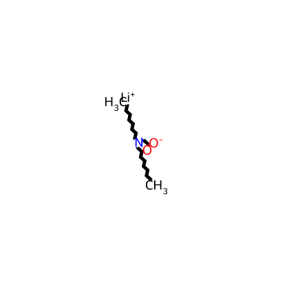 CCCCCCCCCN(CCCCCCCCC)CC(=O)[O-].[Li+]